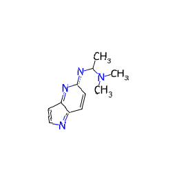 CC(N=C1C=CC2=NC=CC2=N1)N(C)C